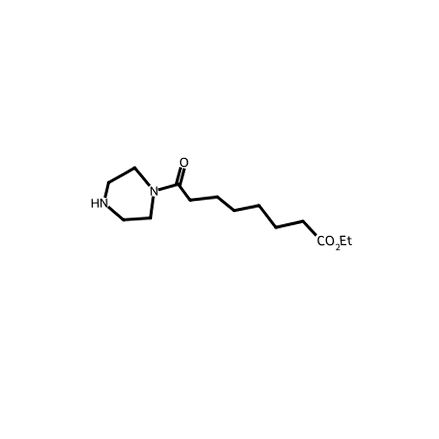 CCOC(=O)CCCCCCC(=O)N1CCNCC1